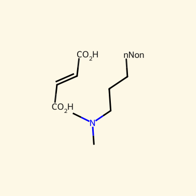 CCCCCCCCCCCCN(C)C.O=C(O)C=CC(=O)O